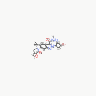 CCN(C(=O)c1ccco1)c1cc2nn(-c3ccc(Br)cc3)c(C(=O)NC)c2cc1C1CC1